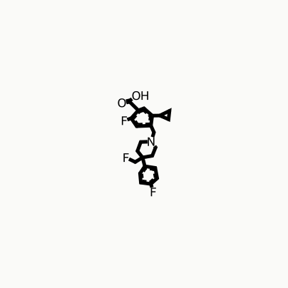 O=C(O)c1cc(C2CC2)c(CN2CCC(CF)(c3ccc(F)cc3)CC2)cc1F